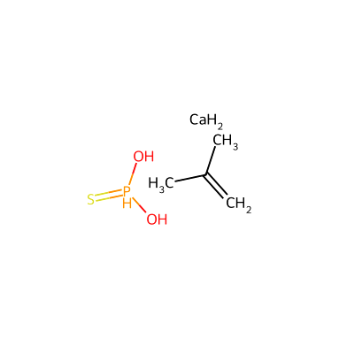 C=C(C)C.O[PH](O)=S.[CaH2]